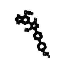 COc1cc(-c2[nH]nc(-c3ccc(C4CCN(C)CC4)cc3)c2C(C)C)cn2ncnc12